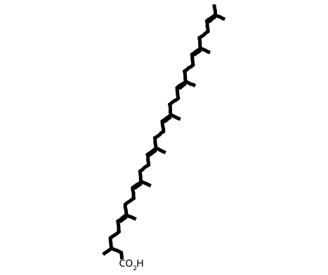 CC(C)=CCC/C(C)=C/CC/C(C)=C/CC/C(C)=C/CC/C(C)=C/CC/C(C)=C/CC/C(C)=C/CCC(C)CC(=O)O